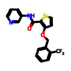 O=C(Nc1cccnc1)c1sccc1OCc1ccccc1C(F)(F)F